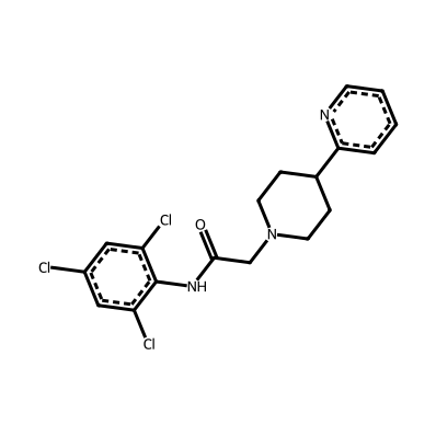 O=C(CN1CCC(c2ccccn2)CC1)Nc1c(Cl)cc(Cl)cc1Cl